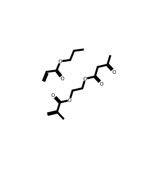 C=C(C)C(=O)OCCOC(=O)CC(C)=O.C=CC(=O)OCCC